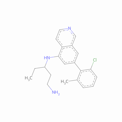 CCC(CCN)Nc1cc(-c2c(C)cccc2Cl)cc2cnccc12